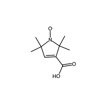 CC1(C)C=C(C(=O)O)C(C)(C)N1[O]